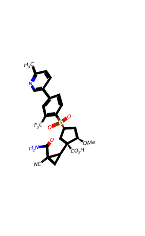 CO[C@@H]1C[C@H](S(=O)(=O)c2ccc(-c3ccc(C)nc3)cc2C(F)(F)F)C[C@@]1(C(=O)O)C1CC1(C#N)C(N)=O